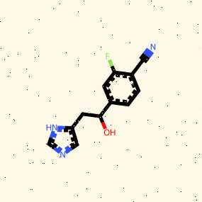 N#Cc1ccc(C(O)Cc2cn[c][nH]2)cc1F